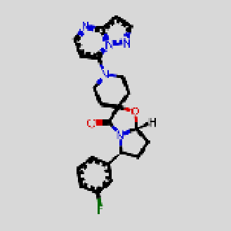 O=C1N2[C@@H](CC[C@H]2c2cccc(F)c2)OC12CCN(c1ccnc3ccnn13)CC2